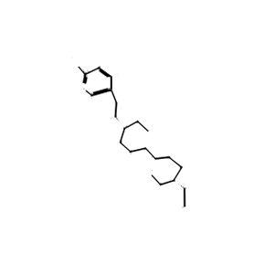 CC[C@H]1CC[C@H]([C@H]2CC[C@H](CCc3ccc(F)nc3)CC2)CC1